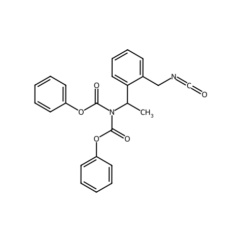 CC(c1ccccc1CN=C=O)N(C(=O)Oc1ccccc1)C(=O)Oc1ccccc1